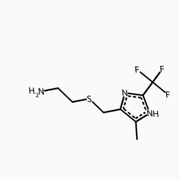 Cc1[nH]c(C(F)(F)F)nc1CSCCN